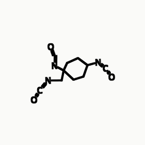 O=C=NCC1(N=C=O)CCC(N=C=O)CC1